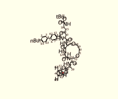 CCCCc1ccc(-c2ccc(C(=O)N[C@@H](CCCCNC(=O)OC(C)(C)C)C(=O)N[C@H]3COCCCCOC[C@@H](C(=O)N[C@@H](C)B4O[C@@H]5C[C@@H]6C[C@@H](C6(C)C)[C@]5(C)O4)NC(=O)[C@H](C)NC3=O)cc2)cc1